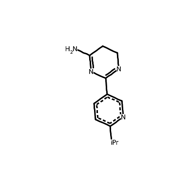 CC(C)c1ccc(C2=NCCC(N)=N2)cn1